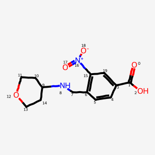 O=C(O)c1ccc(CNC2CCOCC2)c([N+](=O)[O-])c1